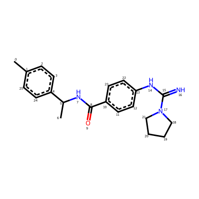 Cc1ccc(C(C)NC(=O)c2ccc(NC(=N)N3CCCC3)cc2)cc1